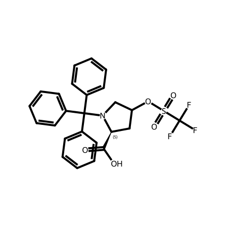 O=C(O)[C@@H]1CC(OS(=O)(=O)C(F)(F)F)CN1C(c1ccccc1)(c1ccccc1)c1ccccc1